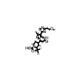 COCCc1noc(-c2c(C)nn3c(C4CCN(C(=O)O)C(C(C)(C)C)C4)cc(=O)[nH]c23)n1